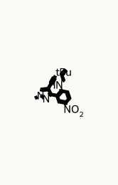 C=CCNc1ccc([N+](=O)[O-])cc1-c1nn(C)cc1C#CC(C)(C)C